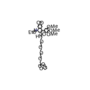 CCO/N=C1\C[C@H](C(=O)NCCOCCOCCOCCOCCC(=O)ON2CCCC2=O)[C@H](c2cc(OC)c(OC)c(OC)c2)c2cc3c(cc21)OCO3